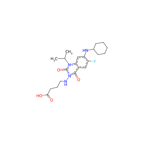 CC(C)n1c(=O)n(NCCCC(=O)O)c(=O)c2cc(F)c(NC3CCCCC3)cc21